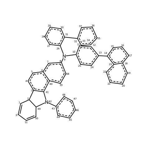 C1=CC2c3ccc4cc(N(c5ccc(-c6cccc7ccccc67)cc5)c5ccccc5-c5ccccc5)ccc4c3N(c3ccccc3)C2C=C1